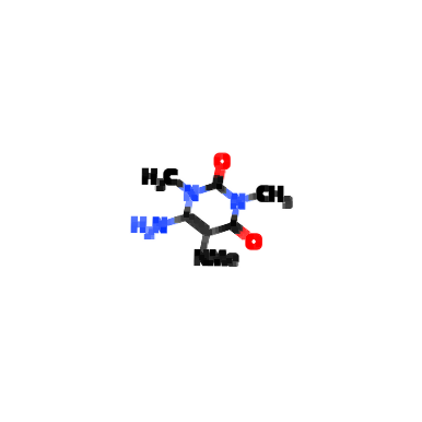 CNc1c(N)n(C)c(=O)n(C)c1=O